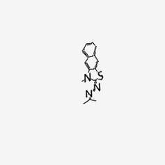 CC(C)=NN=c1sc2cc3ccccc3cc2n1C